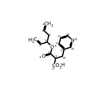 C=CCC(C=C)OC(=O)C(Cc1cccnc1)C(=O)O